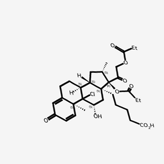 CCC(=O)OCC(=O)[C@@]1(OC(=O)CC)[C@@H](C)C[C@H]2[C@@H]3CCC4=CC(=O)C=C[C@]4(C)C3(Cl)[C@@H](O)C[C@@]21CCCCC(=O)O